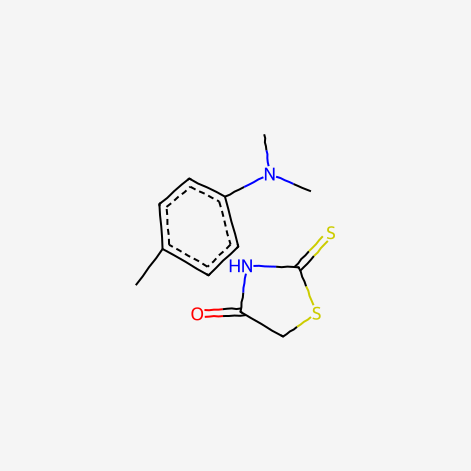 Cc1ccc(N(C)C)cc1.O=C1CSC(=S)N1